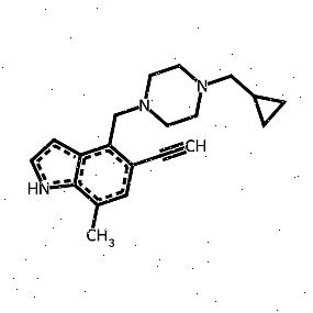 C#Cc1cc(C)c2[nH]ccc2c1CN1CCN(CC2CC2)CC1